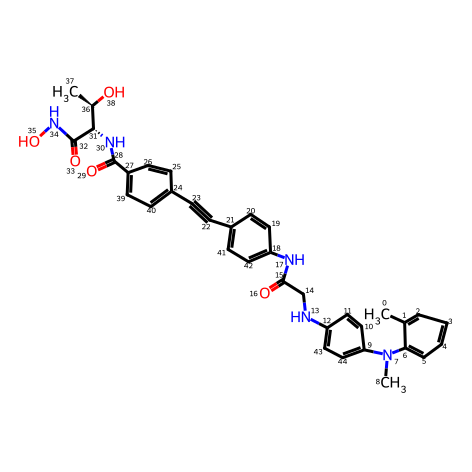 Cc1ccccc1N(C)c1ccc(NCC(=O)Nc2ccc(C#Cc3ccc(C(=O)N[C@H](C(=O)NO)[C@@H](C)O)cc3)cc2)cc1